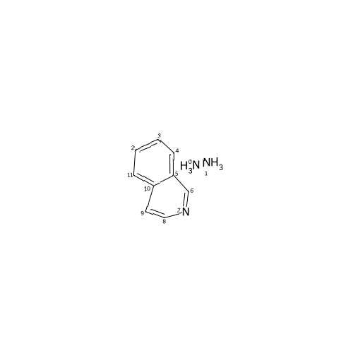 N.N.c1ccc2cnccc2c1